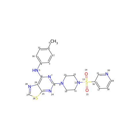 Cc1ccc(Nc2nc(N3CCN(S(=O)(=O)c4cccnc4)CC3)nc3scnc23)cc1